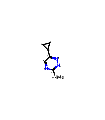 CNc1ncc(C2CC2)nn1